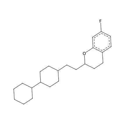 Fc1ccc2c(c1)OC(CCC1CCC(C3CCCCC3)CC1)CC2